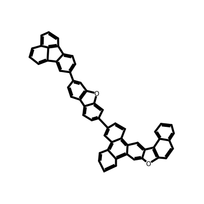 c1cc2c3c(cccc3c1)-c1cc(-c3ccc4c(c3)oc3cc(-c5ccc6c(c5)c5ccccc5c5cc7oc8ccc9ccccc9c8c7cc65)ccc34)ccc1-2